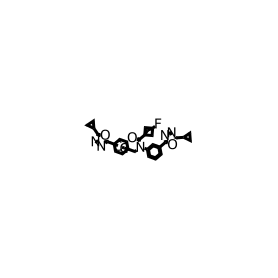 O=C(N(CC12CCC(c3nnc(C4CC4)o3)(CC1)CC2)c1cccc(-c2nnc(C3CC3)o2)c1)C12CC(F)(C1)C2